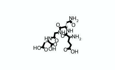 NC(=O)C[C@H](NC(=O)[C@@H](N)CCC(=O)O)C(=O)NCC(=O)N[C@@H](CC(=O)O)C(=O)O